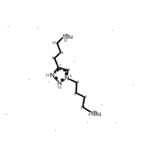 CC(C)(C)CCCCn1cc(CCCC(C)(C)C)nn1